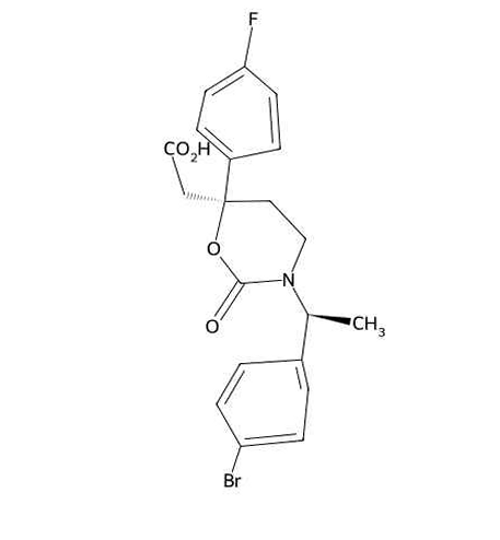 C[C@@H](c1ccc(Br)cc1)N1CC[C@](CC(=O)O)(c2ccc(F)cc2)OC1=O